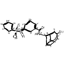 O=C(NC1C2CC3CC1CC(O)(C3)C2)c1cccc(NS(=O)(=O)c2ccccc2)c1